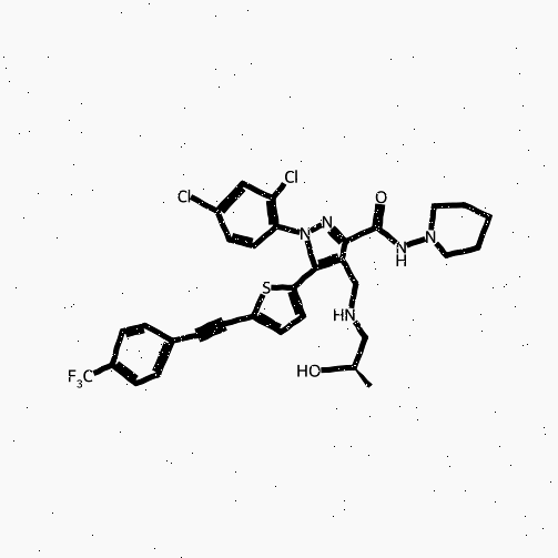 C[C@@H](O)CNCc1c(C(=O)NN2CCCCC2)nn(-c2ccc(Cl)cc2Cl)c1-c1ccc(C#Cc2ccc(C(F)(F)F)cc2)s1